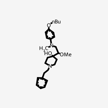 CCCCOc1ccc(N(C)CC(OC)C2(O)CCN(CCc3ccccc3)CC2)cc1